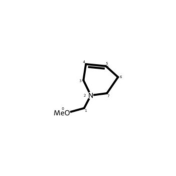 COCN1CC=[C]CC1